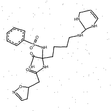 O=C(CC1CC=NO1)NC(CCCCNC1NC=CCN1)(NS(=O)(=O)c1ccccc1)C(=O)O